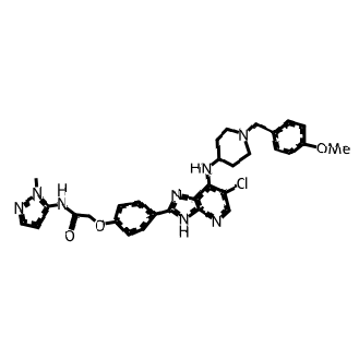 COc1ccc(CN2CCC(Nc3c(Cl)cnc4[nH]c(-c5ccc(OCC(=O)Nc6ccnn6C)cc5)nc34)CC2)cc1